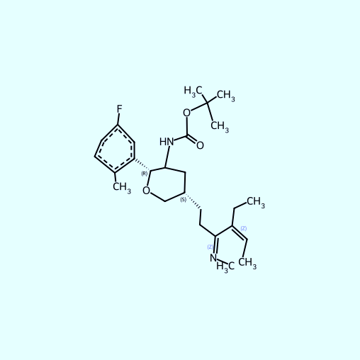 C/C=C(CC)\C(CC[C@@H]1CO[C@H](c2cc(F)ccc2C)C(NC(=O)OC(C)(C)C)C1)=N/C